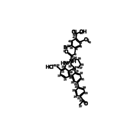 COc1cc(CC(=O)NNc2c(C)cccc2[N+]2(c3ccc(-c4ccc(C(C)=O)cc4)cc3)CCCCC2)c(Br)cc1C(=O)O.Cl